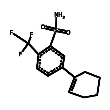 NS(=O)(=O)c1cc(C2=CCCCC2)ccc1C(F)(F)F